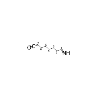 N=[C]CCCCC[C]=C=O